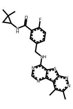 Cc1nnc2sc3c(NCc4ccc(F)c(C(=O)NC5CC5(C)C)c4)ncnc3c2c1C